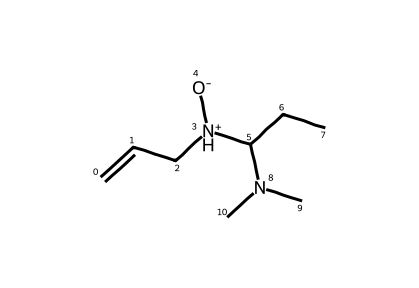 C=CC[NH+]([O-])C(CC)N(C)C